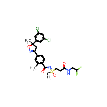 Cc1cc(C2=NOC(c3cc(Cl)cc(Cl)c3)(C(F)(F)F)C2)ccc1C(=O)N=S(C)(=O)CCC(=O)NCC(F)F